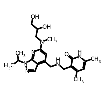 Cc1cc(C)c(CNCc2cc(N(C)CC(O)CO)nc3c2cnn3C(C)C)c(=O)[nH]1